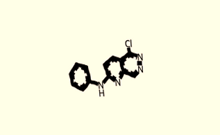 Clc1nncc2nc(Nc3ccccc3)ccc12